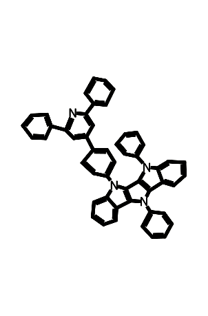 c1ccc(-c2cc(-c3ccc(-n4c5ccccc5c5c4c4c(c6ccccc6n4-c4ccccc4)n5-c4ccccc4)cc3)cc(-c3ccccc3)n2)cc1